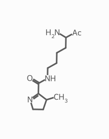 CC(=O)C(N)CCCCNC(=O)C1=NCCC1C